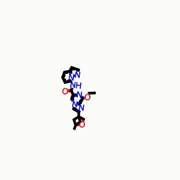 CCOc1nc(C(=O)Nc2cccc3ccnn23)cn2cc(C34COC(C)(C3)C4)nc12